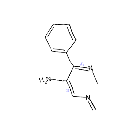 C=N/C=C(N)\C(=N/C)c1ccccc1